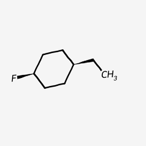 CC[C@H]1CC[C@@H](F)CC1